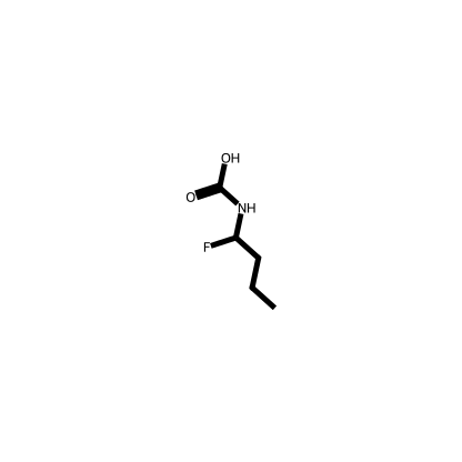 CCCC(F)NC(=O)O